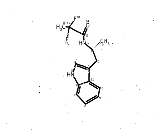 C[C@H](Cc1c[nH]c2ccccc12)NC(=O)C(C)(F)F